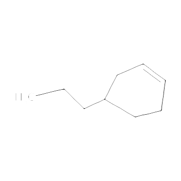 CCCC1CC=CCC1